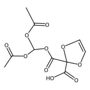 CC(=O)OC(OC(C)=O)OC(=O)C1(C(=O)O)OC=CO1